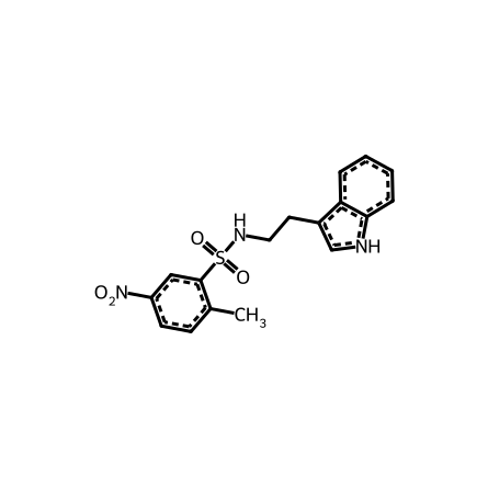 Cc1ccc([N+](=O)[O-])cc1S(=O)(=O)NCCc1c[nH]c2ccccc12